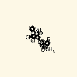 CCN(Cc1ccccc1)C(=O)C(CCN1CCC2(CC1)OC(=O)N(C)c1ccc(F)cc12)c1ccc(Cl)c(Cl)c1